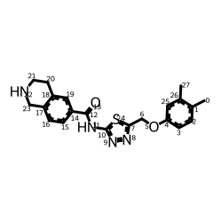 Cc1ccc(OCc2nnc(NC(=O)c3ccc4c(c3)CCNC4)s2)cc1C